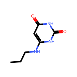 CCCNc1cc(=O)[nH]c(=O)[nH]1